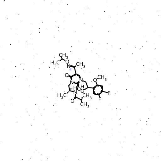 COc1cc(F)c(F)cc1C(O)Cn1cc(/C(C)=N/OC(C)C)c(=O)n(C[C@H](C)NC(=O)C(C)C)c1=O